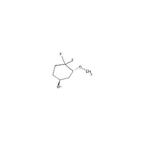 CO[C@@H]1C[C@@H](O)CCC1(F)F